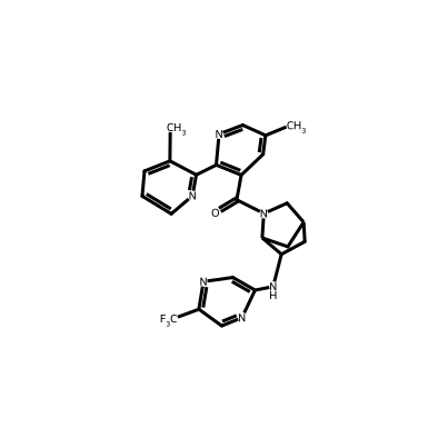 Cc1cnc(-c2ncccc2C)c(C(=O)N2CC3CC(Nc4cnc(C(F)(F)F)cn4)C2C3)c1